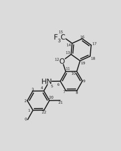 Cc1ccc(Nc2cccc3c2oc2c(C(F)(F)F)cccc23)c(C)c1